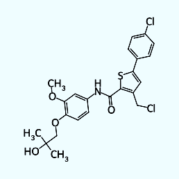 COc1cc(NC(=O)c2sc(-c3ccc(Cl)cc3)cc2CCl)ccc1OCC(C)(C)O